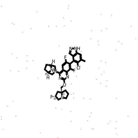 Cc1cc2[nH]ncc2c(-c2c(F)cc3c(N4C[C@H]5CC[C@@H](C4)N5)nc(OC[C@@]45CCCN4C[C@H](F)C5)nc3c2F)c1Cl